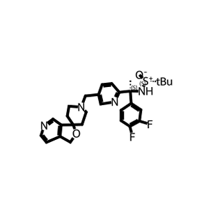 CC(C)(C)[S@@+]([O-])N[C@@](C)(c1ccc(F)c(F)c1)c1ccc(CN2CCC3(CC2)OCc2ccncc23)cn1